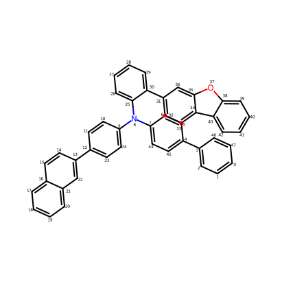 c1ccc(-c2ccc(N(c3ccc(-c4ccc5ccccc5c4)cc3)c3ccccc3-c3ccc4c(c3)oc3ccccc34)cc2)cc1